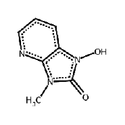 Cn1c(=O)n(O)c2cccnc21